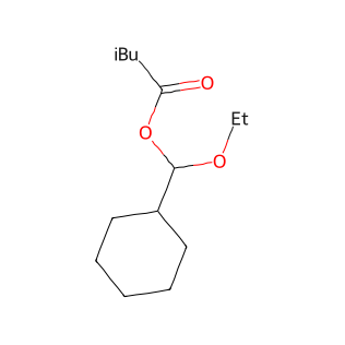 CCOC(OC(=O)C(C)CC)C1CCCCC1